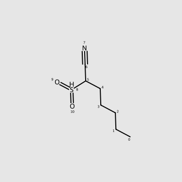 CCCCCC(C#N)[SH](=O)=O